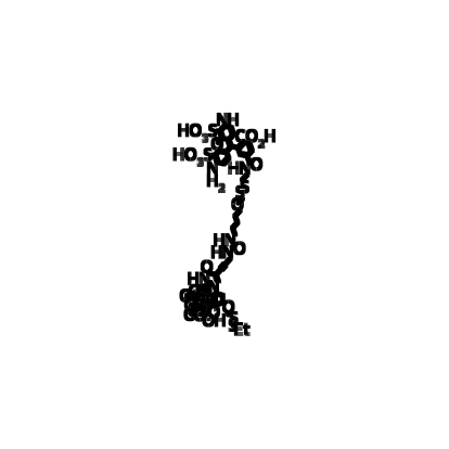 CCSSCO[C@@H]1C[C@H](n2cc(C#CCNC(=O)NCCCCCOCSSCCNC(=O)c3ccc(C(=O)O)c(-c4c5ccc(=N)c(S(=O)(=O)O)c-5oc5c(S(=O)(=O)O)c(N)ccc45)c3)c(=O)[nH]c2=O)O[C@@H]1OP(=O)(O)OP(=O)(O)OP(=O)(O)O